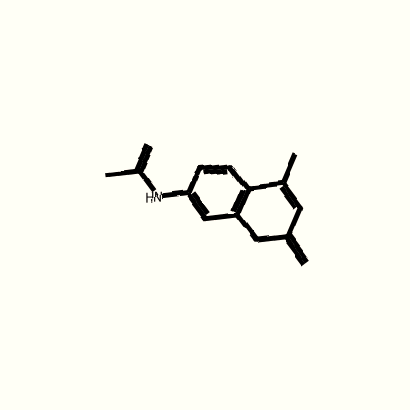 C=C1C=C(C)c2ccc(NC(=C)C)cc2C1